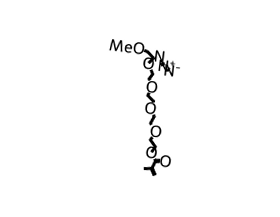 C=C(C)C(=O)OCCOCCOCCOCCOC(COC)N=[N+]=[N-]